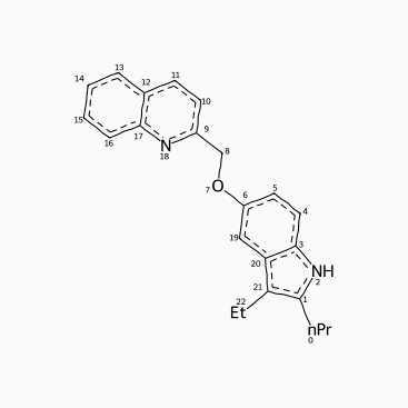 CCCc1[nH]c2ccc(OCc3ccc4ccccc4n3)cc2c1CC